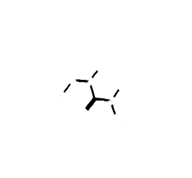 CN(C)C(=O)N(C)OC(C)(C)C